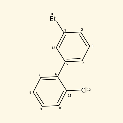 CCc1[c]ccc(-c2ccccc2Cl)c1